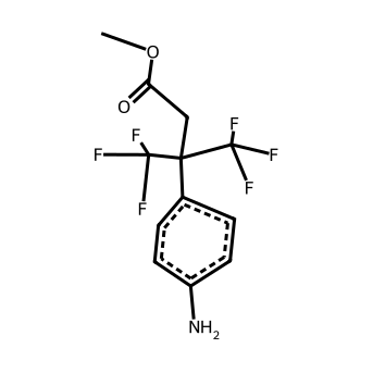 COC(=O)CC(c1ccc(N)cc1)(C(F)(F)F)C(F)(F)F